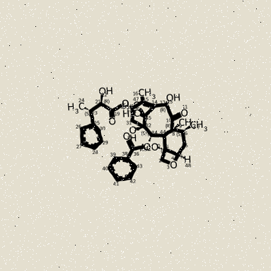 CC(=O)O[C@@]12CO[C@@H]1C[C@H](C)[C@@]1(C)C(=O)[C@H](O)C3=C(C)[C@@H](OC(=O)[C@H](O)[C@@H](C)c4ccccc4)C[C@@](O)([C@@H](OC(=O)c4ccccc4)C12)C3(C)C